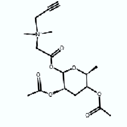 C#CC[N+](C)(C)CC(=O)OC1O[C@@H](C)C(OC(C)=O)C[C@H]1OC(C)=O